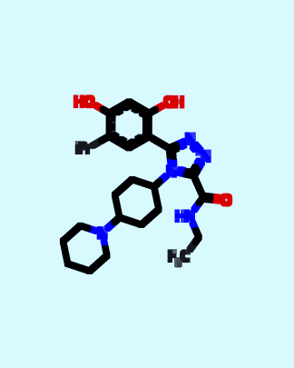 CC(C)c1cc(-c2nnc(C(=O)NCC(F)(F)F)n2C2CCC(N3CCCCC3)CC2)c(O)cc1O